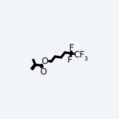 C=C(C)C(=O)OCCCCC(F)(F)C(F)(F)F